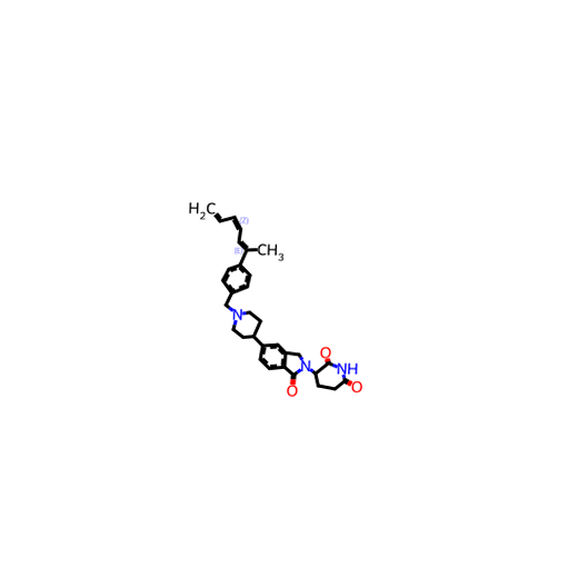 C=C/C=C\C=C(/C)c1ccc(CN2CCC(c3ccc4c(c3)CN(C3CCC(=O)NC3=O)C4=O)CC2)cc1